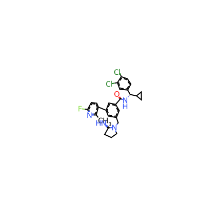 Cc1nc(F)ccc1-c1cc(CN2CCCC2=N)cc(C(=O)N[C@H](c2ccc(Cl)c(Cl)c2)C2CC2)c1